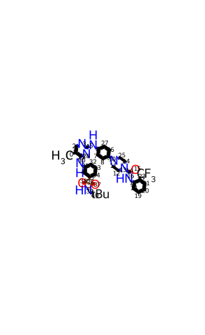 Cc1cnc(Nc2ccc(N3CCN(C(=O)Nc4ccccc4C(F)(F)F)CC3)cc2)nc1Nc1cccc(S(=O)(=O)NC(C)(C)C)c1